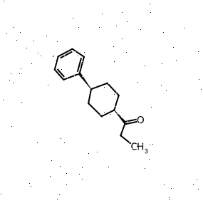 CCC(=O)[C@H]1CC[C@@H](c2ccccc2)CC1